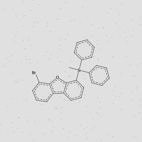 C[Si](c1ccccc1)(c1ccccc1)c1cccc2c1oc1c(Br)cccc12